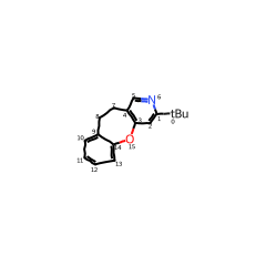 CC(C)(C)c1cc2c(cn1)CCc1ccccc1O2